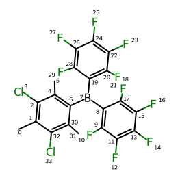 Cc1c(Cl)c(C)c(B(c2c(F)c(F)c(F)c(F)c2F)c2c(F)c(F)c(F)c(F)c2F)c(C)c1Cl